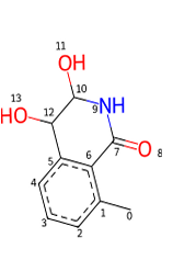 Cc1cccc2c1C(=O)NC(O)C2O